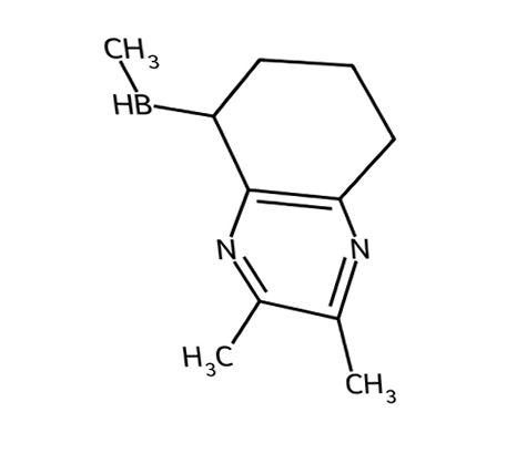 CBC1CCCc2nc(C)c(C)nc21